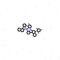 Cc1cc(C)c(-c2cc3c(c4ccccc24)c2cccc4c2n3-c2ccc(C)c3c2B4n2c4ccc5ccccc5c4c4cccc-3c42)c(C)c1